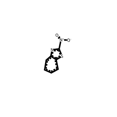 O=[N+]([O-])c1nc2ccccc2s1